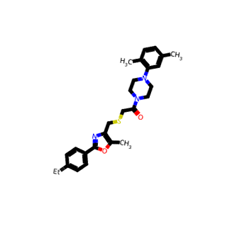 CCc1ccc(-c2nc(CSCC(=O)N3CCN(c4cc(C)ccc4C)CC3)c(C)o2)cc1